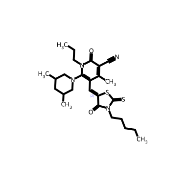 CCCCCN1C(=O)/C(=C/c2c(C)c(C#N)c(=O)n(CCC)c2N2CC(C)CC(C)C2)SC1=S